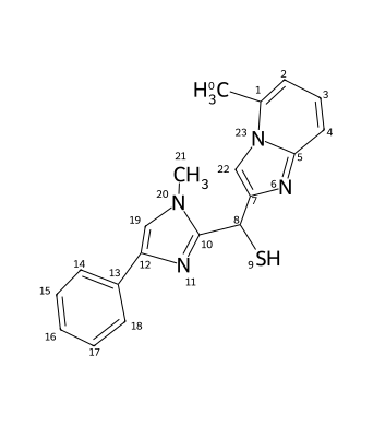 Cc1cccc2nc(C(S)c3nc(-c4ccccc4)cn3C)cn12